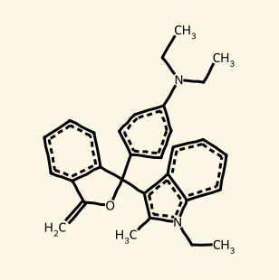 C=C1OC(c2ccc(N(CC)CC)cc2)(c2c(C)n(CC)c3ccccc23)c2ccccc21